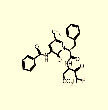 O=C(O)CC(NC(=O)[C@H](Cc1ccccc1)n1cc(C(F)(F)F)cc(NC(=O)c2ccccc2)c1=O)C(=O)CF